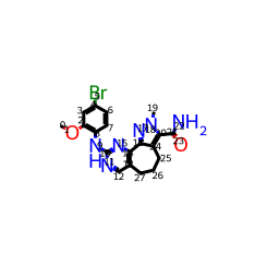 COc1cc(Br)ccc1Nc1ncc2c(n1)-c1nn(C)c(C(N)=O)c1CCC2